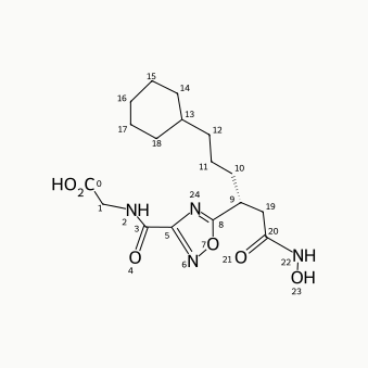 O=C(O)CNC(=O)c1noc([C@H](CCCC2CCCCC2)CC(=O)NO)n1